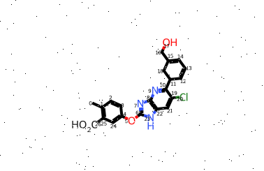 Cc1ccc(Oc2nc3nc(C4C=CC=C(CO)C4)c(Cl)cc3[nH]2)cc1C(=O)O